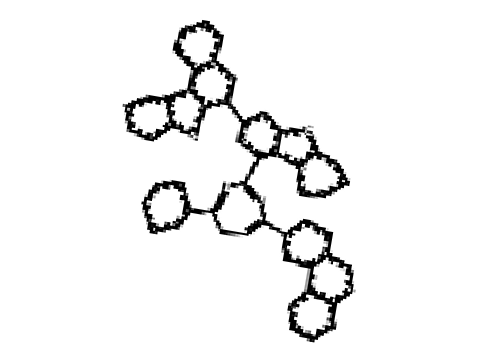 C1=C(c2ccc3ccc4ccccc4c3c2)N=C(c2cc(-c3cc4ccccc4c4c3oc3ccccc34)cc3oc4ccccc4c23)N=C(c2ccccc2)C1